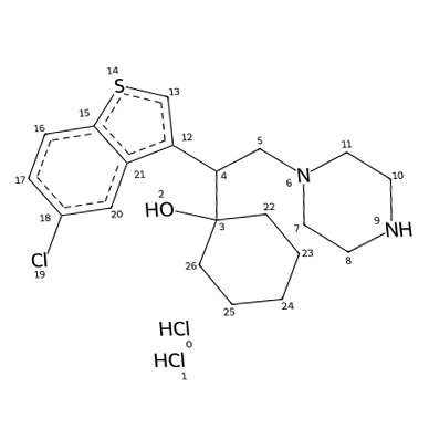 Cl.Cl.OC1(C(CN2CCNCC2)c2csc3ccc(Cl)cc23)CCCCC1